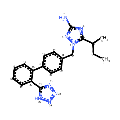 CCC(C)c1nc(N)nn1Cc1ccc(-c2ccccc2-c2nnn[nH]2)cc1